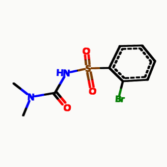 CN(C)C(=O)NS(=O)(=O)c1ccccc1Br